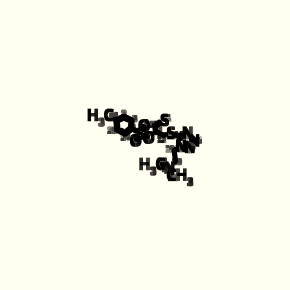 Cc1ccc(S(=O)(=O)OC([C]=S)CSc2nnnn2CCN(C)C)cc1